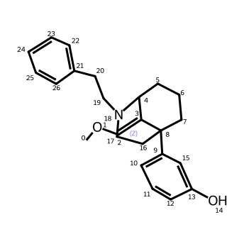 CO/C=C1\C2CCCC1(c1cccc(O)c1)CCN2CCc1ccccc1